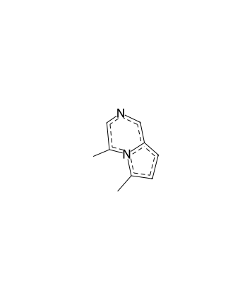 Cc1ccc2cncc(C)n12